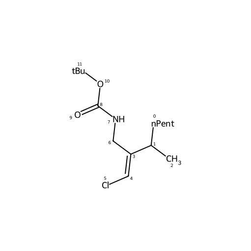 CCCCCC(C)/C(=C/Cl)CNC(=O)OC(C)(C)C